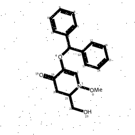 CON1C=C(OC(c2ccccc2)c2ccccc2)C(=O)CC1CO